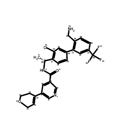 C[C@@H](NC(=O)c1cncc(C2=CCOCC2)c1)c1ccc(-c2cc(C(F)(F)F)ccc2CN)cc1Cl